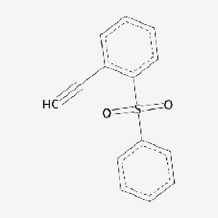 C#Cc1ccccc1S(=O)(=O)c1ccccc1